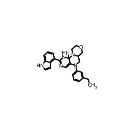 CCc1cccc(N2CC3COCCN3[C@H]3NC(c4cccc5[nH]ccc45)=NC=C32)c1